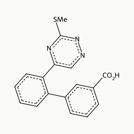 CSc1nncc(-c2ccccc2-c2cccc(C(=O)O)c2)n1